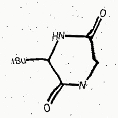 CC(C)(C)C1NC(=O)C[N]C1=O